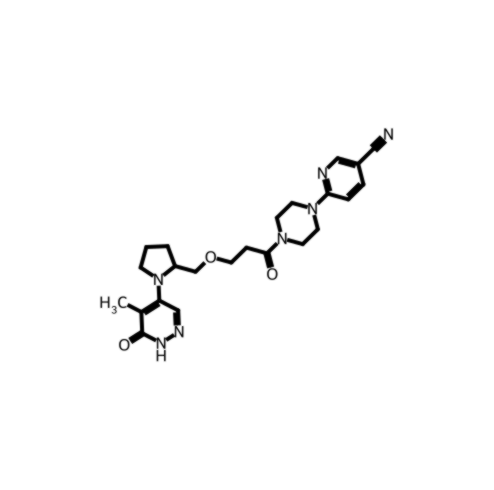 Cc1c(N2CCCC2COCCC(=O)N2CCN(c3ccc(C#N)cn3)CC2)cn[nH]c1=O